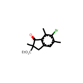 CCOC(=O)C1(C)Cc2cc(C)c(Br)c(C)c2C1=O